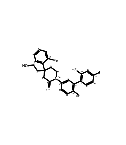 O=C1CC(CCO)(c2ccccc2F)CCN1c1ccc(F)c(-c2ccc(F)cc2F)c1